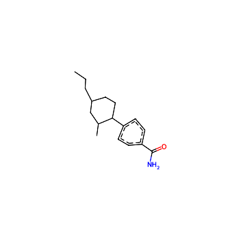 CCCC1CCC(c2ccc(C(N)=O)cc2)C(C)C1